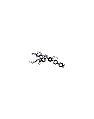 C=CCn1c(=O)c2cnc(Nc3ccc(N4CCC(N5CCC(F)(F)CC5)CC4)c(C)c3)nc2n1C(/C=C\C=O)=N/N(C)C(C)C